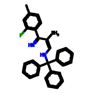 B/C(=C/NC(c1ccccc1)(c1ccccc1)c1ccccc1)C(=N)c1ccc(C)cc1F